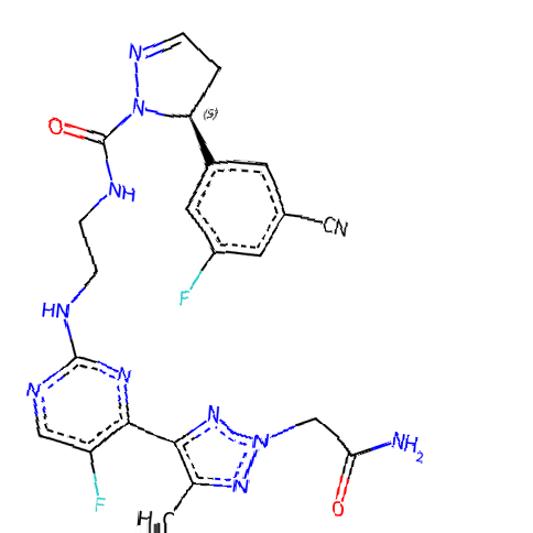 Cc1nn(CC(N)=O)nc1-c1nc(NCCNC(=O)N2N=CC[C@H]2c2cc(F)cc(C#N)c2)ncc1F